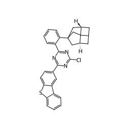 Clc1nc(-c2ccc3sc4ccccc4c3c2)nc(-c2ccccc2C23C[C@@H]4CC5C[C@@H](C2)C54C3)n1